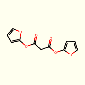 O=C(CC(=O)Oc1ccco1)Oc1ccco1